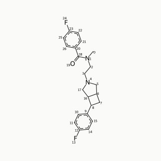 CN(CCN1CC2CC(c3ccc(F)cc3)C2C1)C(=O)c1ccc(F)cc1